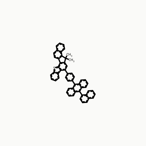 CC1(C)c2cc(-c3ccc(-c4c5ccccc5c(-c5cccc6ccccc56)c5ccccc45)cc3)c3c(sc4ccccc43)c2-c2ccc3ccccc3c21